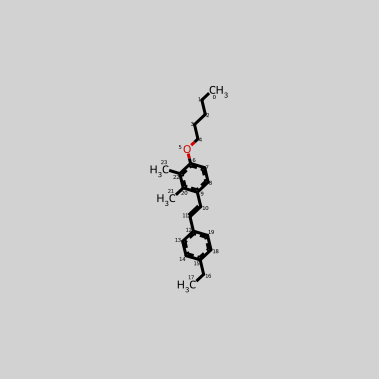 CCCCCOc1ccc(C=Cc2ccc(CC)cc2)c(C)c1C